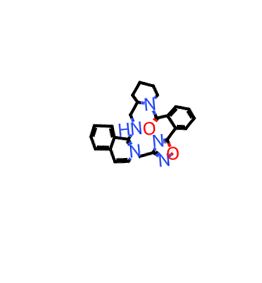 Cc1noc(-c2ccccc2C(=O)N2CCCCC2CNc2nccc3ccccc23)n1